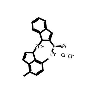 Cc1ccc(C)c2c1C=C[CH]2[Zr+2][CH]1C(P(C(C)C)C(C)C)=Cc2ccccc21.[Cl-].[Cl-]